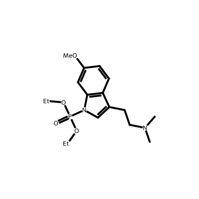 CCOP(=O)(OCC)n1cc(CCN(C)C)c2ccc(OC)cc21